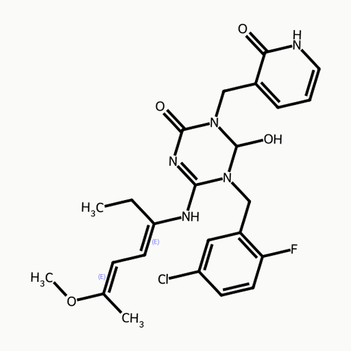 CC/C(=C\C=C(/C)OC)NC1=NC(=O)N(Cc2ccc[nH]c2=O)C(O)N1Cc1cc(Cl)ccc1F